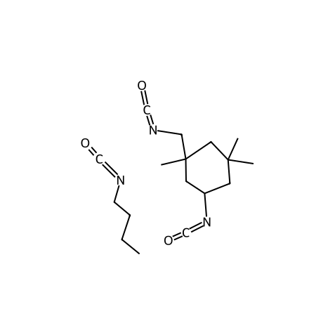 CC1(C)CC(N=C=O)CC(C)(CN=C=O)C1.CCCCN=C=O